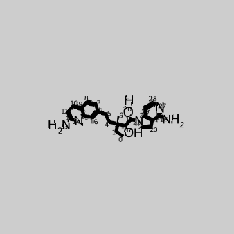 CC[C@](C)(CCc1ccc2ccc(N)nc2c1)[C@@H](O)[C@@H](O)n1ccc2c(N)nccc21